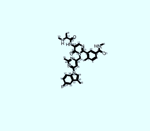 CNC(=O)c1ccc(C)c(-c2ncc(NC(=O)C(C)NC)c(=O)n2Cc2cc(-n3cc(C)c4cc(F)ccc43)nc(C)n2)c1